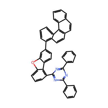 c1ccc(-c2nc(-c3ccccc3)nc(-c3cccc4oc5cc(-c6cccc7c6ccc6ccc8ccccc8c67)ccc5c34)n2)cc1